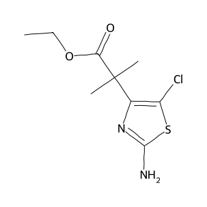 CCOC(=O)C(C)(C)c1nc(N)sc1Cl